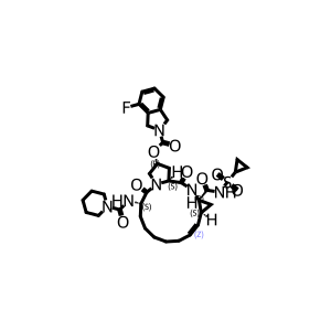 O=C1N[C@]2(C(=O)NS(=O)(=O)C3CC3)C[C@H]2/C=C\CCCCC[C@H](NC(=O)N2CCCCC2)C(=O)N2C[C@H](OC(=O)N3Cc4cccc(F)c4C3)C[C@@H]12